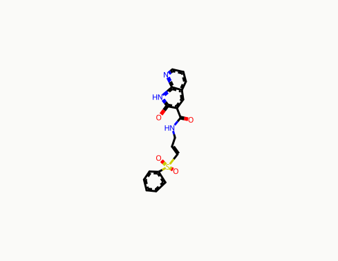 O=C(NC/C=C/S(=O)(=O)c1ccccc1)c1cc2cccnc2[nH]c1=O